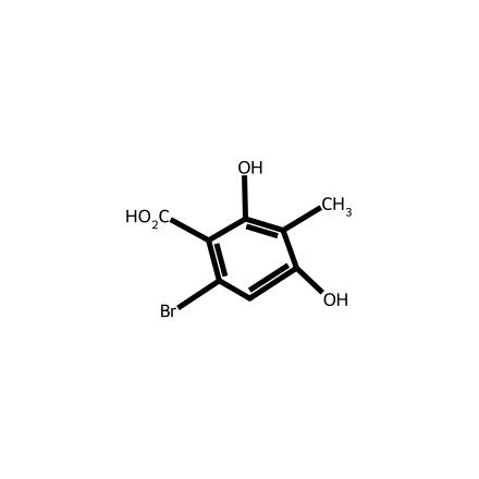 Cc1c(O)cc(Br)c(C(=O)O)c1O